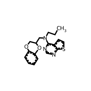 CCCN(CC1COc2ccccc2O1)c1ncnc2sccc12